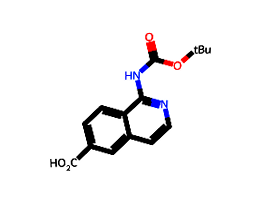 CC(C)(C)OC(=O)Nc1nccc2cc(C(=O)O)ccc12